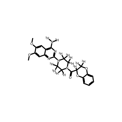 [2H]N([2H])c1nc(N2C([2H])([2H])C([2H])([2H])N(C(=O)C3([2H])Oc4ccccc4OC3([2H])[2H])C([2H])([2H])C2([2H])[2H])nc2cc(OC)c(OC)cc12